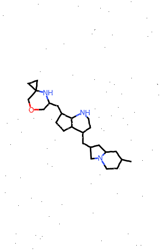 CC1CCN2CC(CC3CCNC4C(CC5COCC6(CC6)N5)CCC34)CC2C1